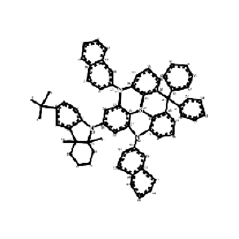 CC(C)(C)c1ccc2c(c1)C1(C)CCCCC1(C)N2c1cc2c3c(c1)N(c1ccc4ccccc4c1)c1cccc4c1B3c1c(cccc1C4(c1ccccc1)c1ccccc1)N2c1ccc2ccccc2c1